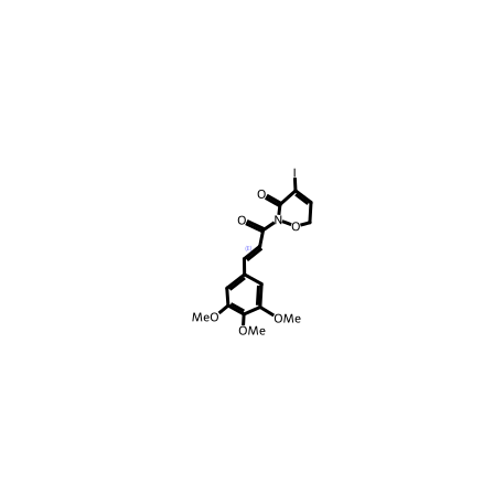 COc1cc(/C=C/C(=O)N2OCC=C(I)C2=O)cc(OC)c1OC